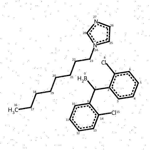 BC(c1ccccc1Cl)c1ccccc1Cl.CCCCCCCCn1ccnc1